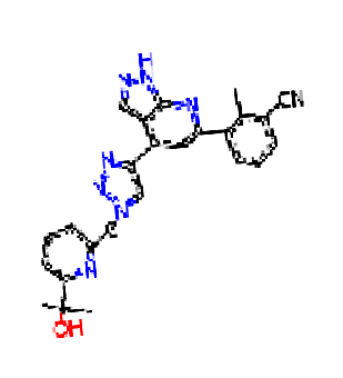 Cc1c(C#N)cccc1-c1cc(-c2cn(Cc3cccc(C(C)(C)O)n3)nn2)c2cn[nH]c2n1